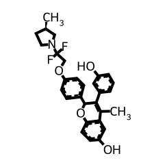 CC1=C(c2cccc(O)c2)C(c2ccc(OCC(F)(F)N3CC[C@@H](C)C3)cc2)Oc2ccc(O)cc21